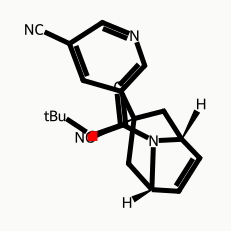 CC(C)(C)OC(=O)N1[C@@H]2C=C[C@H]1C[C@@](C#N)(c1cncc(C#N)c1)C2